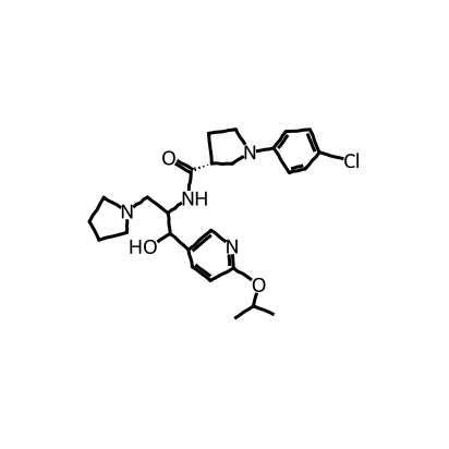 CC(C)Oc1ccc(C(O)C(CN2CCCC2)NC(=O)[C@@H]2CCN(c3ccc(Cl)cc3)C2)cn1